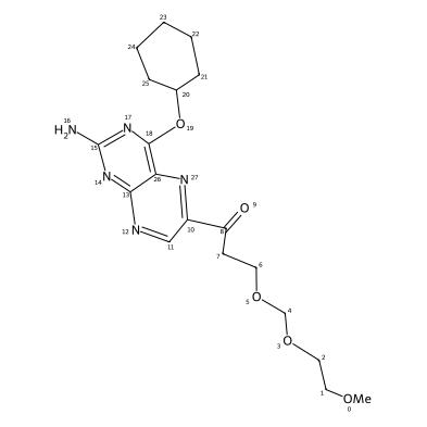 COCCOCOCCC(=O)c1cnc2nc(N)nc(OC3CCCCC3)c2n1